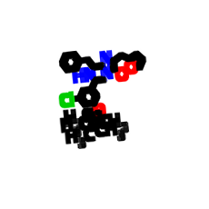 CC(C)(C)[Si](C)(C)Oc1cc(Cl)cc(-c2cn3c(=O)c(Cc4ccco4)nc-3c(Cc3ccccc3)[nH]2)c1